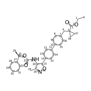 CCOC(=O)C1(Cc2ccc(-c3ccc(-c4onc(C)c4NC(=O)O[C@H](C)c4ccccc4)cc3)cc2)CC1